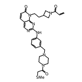 C=CC(=O)N1CC(CCn2c(=O)ccc3cnc(Nc4cccc(CN5CCN(C(=O)CSC)CC5)c4)nc32)C1